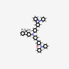 CC1(C)c2ccccc2-c2ccc(N(c3ccc(-c4ccc5c(c4)Oc4ccccc4N5c4ccccc4)cc3)c3ccc(-c4ccc5c(c4)c4ccccc4n5-c4ccccc4)cc3)cc21